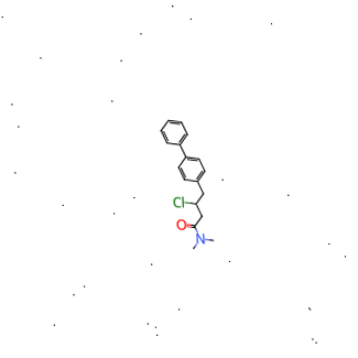 CN(C)C(=O)CC(Cl)Cc1ccc(-c2ccccc2)cc1